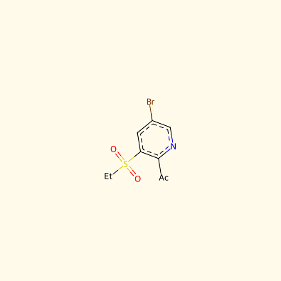 CCS(=O)(=O)c1cc(Br)cnc1C(C)=O